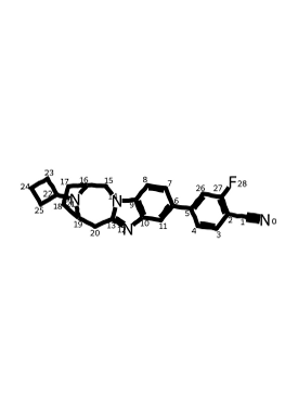 N#Cc1ccc(-c2ccc3c(c2)nc2n3CC3CCC(C2)N3C2CCC2)cc1F